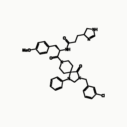 COc1ccc(C[C@@H](NC(=O)CCC2CNC=N2)C(=O)N2CCC3(CC2)C(=O)N(Cc2cccc(Cl)c2)CN3c2ccccc2)cc1